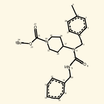 Cc1ccc(CN(C(=O)NCc2ccccc2)C2CCN(C(=O)OC(C)(C)C)CC2)cc1